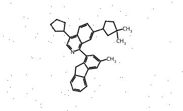 Cc1cc2c(c(-c3ncc(C4CCCC4)c4ccc(C5CCC(C)(C)C5)cc34)c1)Cc1ccccc1-2